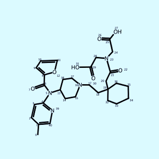 Cc1ccc(N(C(=O)c2ccco2)C2CCN(CCC3(CC(=O)N(CC(=O)O)CC(=O)O)CCCCC3)CC2)nc1